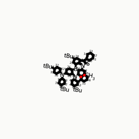 Cc1cc2c3c(c1)-n1c4sc5ccccc5c4c4cc(C(C)(C)C)cc(c41)B3c1ccc(N(c3ccc(C(C)(C)C)cc3)c3ccc(C(C)(C)C)cc3)cc1N2c1ccc(C(C)(C)C)cc1-c1ccccc1